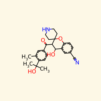 Cc1cc(C(=O)C2C(O)c3cc(C#N)ccc3OC23CCNCC3)ccc1C(C)(C)O